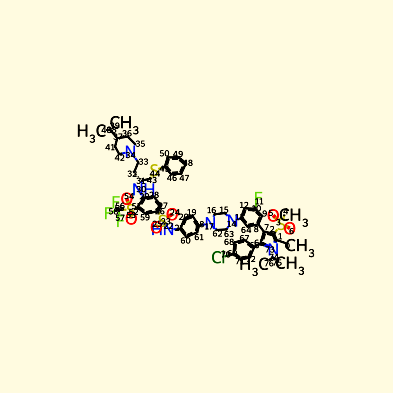 Cc1c(S(C)(=O)=O)c(-c2cc(F)cc(N3CCN(c4ccc(NS(=O)(=O)c5ccc(N[C@H](CCN6CCC(C(C)C)CC6)CSc6ccccc6)c(S(=O)(=O)C(F)(F)F)c5)cc4)CC3)c2)c(-c2ccc(Cl)cc2)n1C(C)C